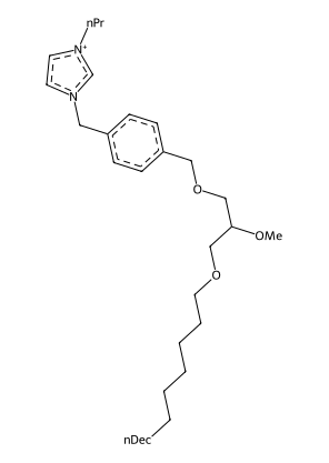 CCCCCCCCCCCCCCCCOCC(COCc1ccc(Cn2cc[n+](CCC)c2)cc1)OC